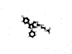 Fc1ccc(-c2cn(C3CCCCC3)c3nc(NCCOC(F)F)ncc23)cc1